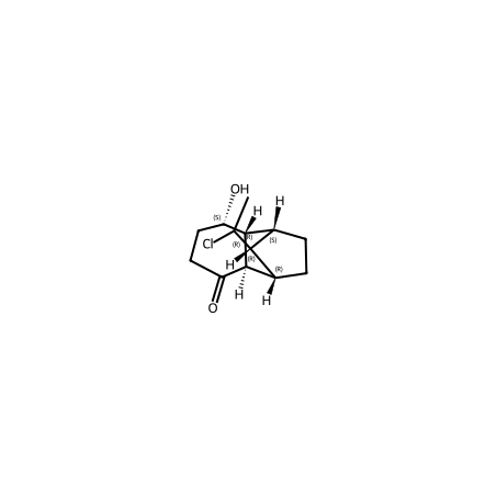 CC(Cl)[C@H]1[C@@H]2CC[C@H]1[C@@H]1[C@@H]2C(=O)CC[C@@H]1O